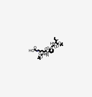 CC[C@@H](C)[C@H](NC(=O)Cn1cccc(NC(=O)C(CC/C=C/C(=O)O)NC(=O)OC(C)(C)C)c1=O)C(=O)OC(C)(C)C